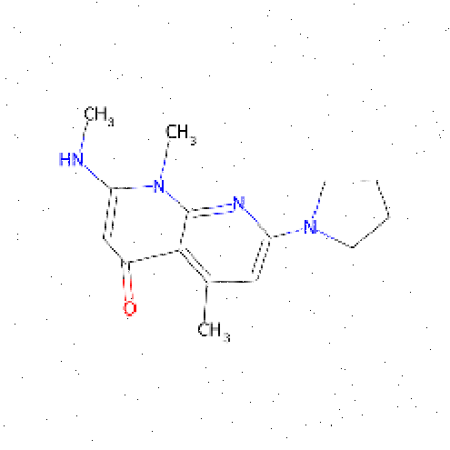 CNc1cc(=O)c2c(C)cc(N3CCCC3)nc2n1C